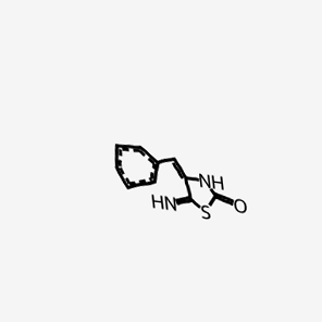 N=C1SC(=O)NC1=Cc1ccccc1